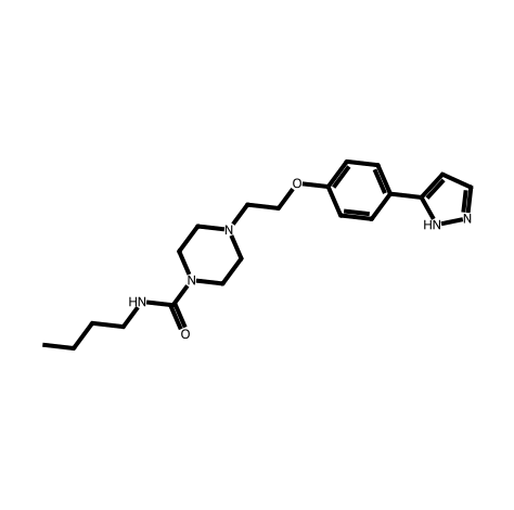 CCCCNC(=O)N1CCN(CCOc2ccc(-c3ccn[nH]3)cc2)CC1